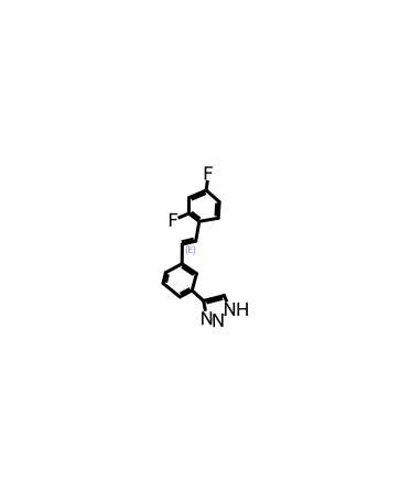 Fc1ccc(/C=C/c2cccc(-c3c[nH]nn3)c2)c(F)c1